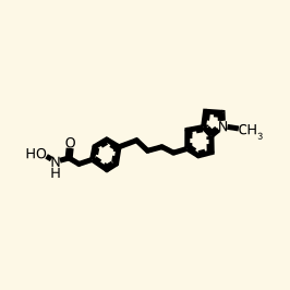 Cn1ccc2cc(CCCCc3ccc(CC(=O)NO)cc3)ccc21